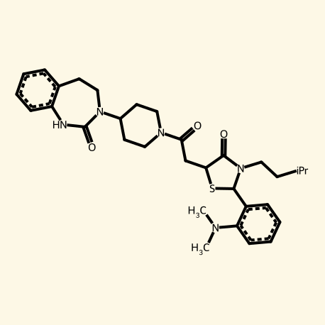 CC(C)CCN1C(=O)C(CC(=O)N2CCC(N3CCc4ccccc4NC3=O)CC2)SC1c1ccccc1N(C)C